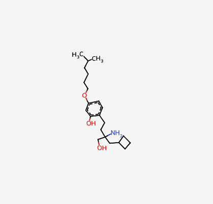 CC(C)CCCCOc1ccc(CCC(N)(CO)CC2CCC2)c(O)c1